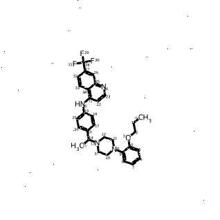 CCCOc1ccccc1N1CCN(C(C)c2ccc(Nc3ccnc4cc(C(F)(F)F)ccc34)cc2)CC1